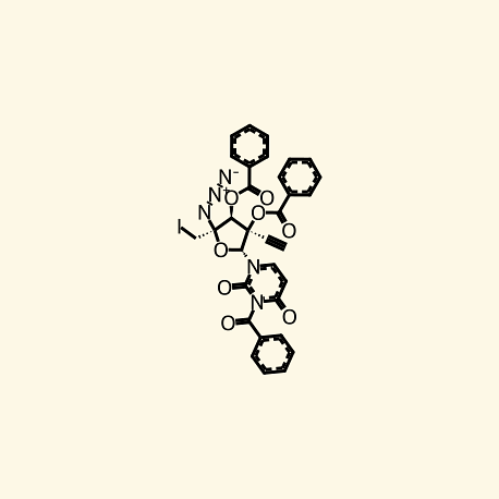 C#C[C@]1(OC(=O)c2ccccc2)[C@H](n2ccc(=O)n(C(=O)c3ccccc3)c2=O)O[C@@](CI)(N=[N+]=[N-])[C@H]1OC(=O)c1ccccc1